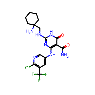 NC(=O)c1c(Nc2cnc(Cl)c(C(F)(F)F)c2)nc(NCC2(N)CCCCC2)[nH]c1=O